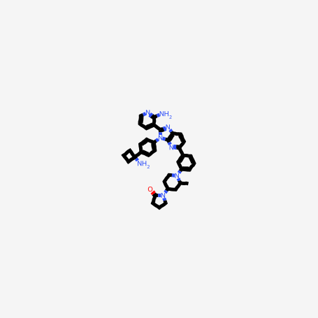 CC1CC(N2CCCC2=O)CCN1c1cccc(-c2ccc3nc(-c4cccnc4N)n(-c4ccc(C5(N)CCC5)cc4)c3n2)c1